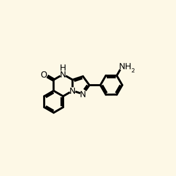 Nc1cccc(-c2cc3[nH]c(=O)c4ccccc4n3n2)c1